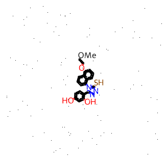 COCCOc1cccc2c(-n3c(S)nnc3-c3ccc(O)cc3O)cccc12